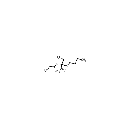 [CH2]C(CC)(SCCCC)SC(C)CC